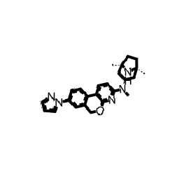 CN(c1ccc2c(n1)OCc1cc(-n3cccn3)ccc1-2)[C@H]1C[C@]2(C)CC[C@](C)(C1)N2